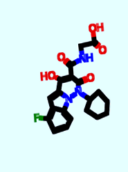 O=C(O)CNC(=O)c1c(O)c2cc3c(F)cccc3n2n(C2CCCCC2)c1=O